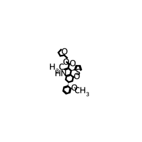 COc1ccccc1[C@H]1CC(=O)C2=C(C1)NC(C)=C(C(=O)OCC1CCCO1)[C@H]2c1cccs1